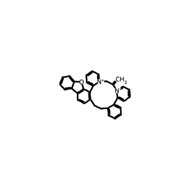 C=C1C[n+]2ccccc2-c2c(ccc3c2oc2ccccc23)CCc2ccccc2-c2cccc[n+]21